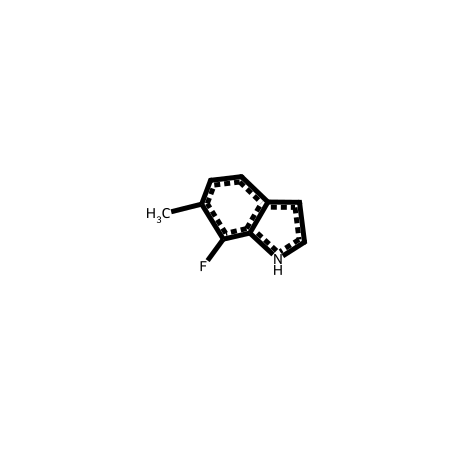 Cc1ccc2cc[nH]c2c1F